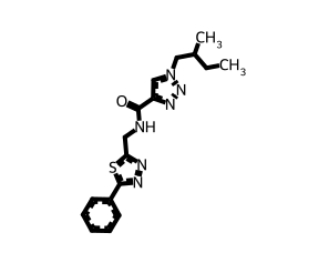 CCC(C)Cn1cc(C(=O)NCc2nnc(-c3ccccc3)s2)nn1